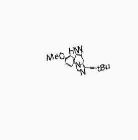 COc1ccc2c(c1)-c1[nH]ncc1Cc1c(C#CC(C)(C)C)ncn1-2